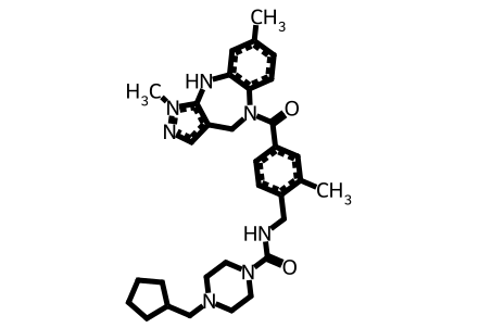 Cc1ccc2c(c1)Nc1c(cnn1C)CN2C(=O)c1ccc(CNC(=O)N2CCN(CC3CCCC3)CC2)c(C)c1